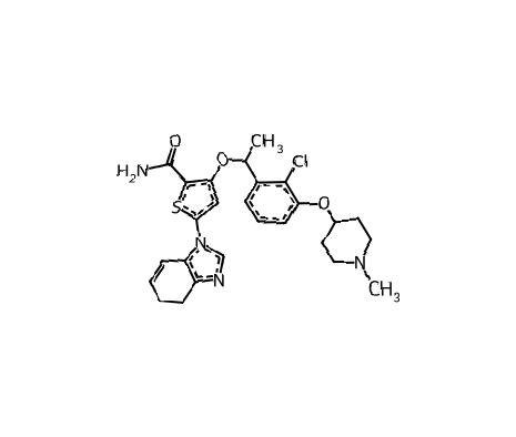 CC(Oc1cc(-n2cnc3c2C=CCC3)sc1C(N)=O)c1cccc(OC2CCN(C)CC2)c1Cl